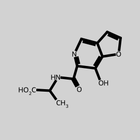 CC(NC(=O)c1ncc2ccoc2c1O)C(=O)O